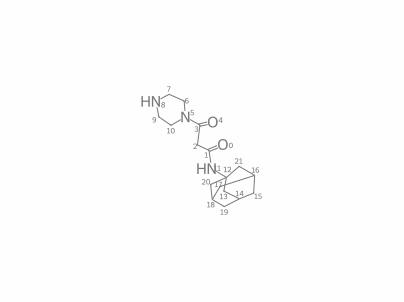 O=C(CC(=O)N1CCNCC1)NC12CC3CC(CC(C3)C1)C2